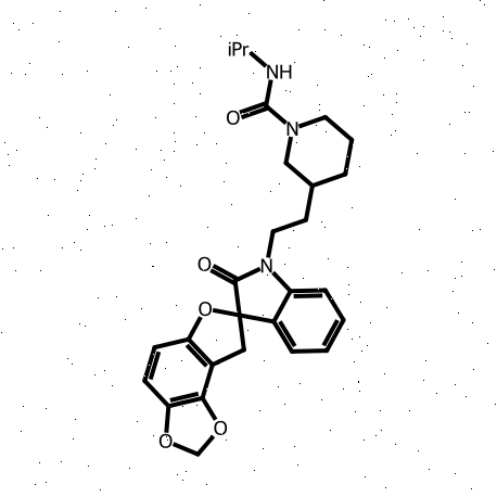 CC(C)NC(=O)N1CCCC(CCN2C(=O)C3(Cc4c(ccc5c4OCO5)O3)c3ccccc32)C1